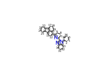 c1ccc(-n2c(-c3cccc(-c4ccc5c6c(cccc46)-c4ccccc4-5)n3)nc3ccccc32)cc1